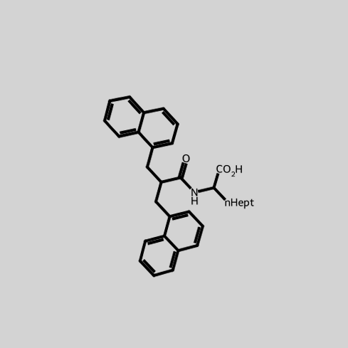 CCCCCCCC(NC(=O)C(Cc1cccc2ccccc12)Cc1cccc2ccccc12)C(=O)O